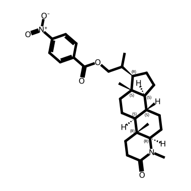 CC(COC(=O)c1ccc([N+](=O)[O-])cc1)[C@H]1CC[C@H]2[C@@H]3CC[C@H]4N(C)C(=O)CC[C@]4(C)[C@H]3CC[C@]12C